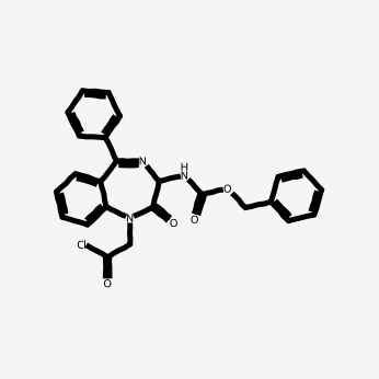 O=C(Cl)CN1C(=O)C(NC(=O)OCc2ccccc2)N=C(c2ccccc2)c2ccccc21